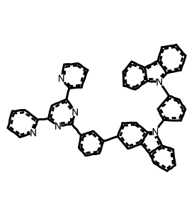 c1ccc(-c2cc(-c3ccccn3)nc(-c3cccc(-c4ccc5c(c4)c4ccccc4n5-c4cccc(-n5c6ccccc6c6ccccc65)c4)c3)n2)nc1